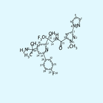 Cn1nc(-n2cccn2)cc1C(=O)NCC(O)(c1cc(C(C)(C)N)cc(-c2ccc(F)cc2)n1)C(F)(F)F